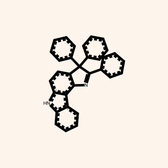 c1ccc(C2=Nc3c(ccc4[nH]c5ccccc5c34)C2(c2ccccc2)c2ccccc2)cc1